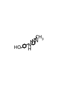 Cc1cn2nc(NCc3ccc(CO)cc3)ccc2n1